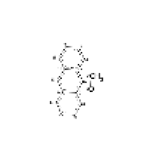 C=O.c1ccc2cc3ccccc3cc2c1